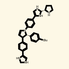 CC(C)(C)c1ccc([C@@H]2C(c3ccc(C4=CNCN4)cc3)C=CN2c2ccc(C3=CNC([C@@H]4CCCN4)N3)cc2)cc1